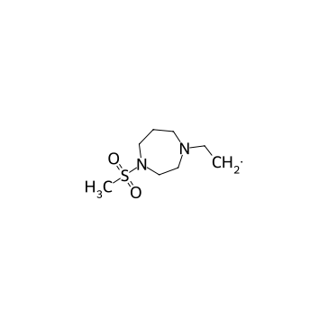 [CH2]CN1CCCN(S(C)(=O)=O)CC1